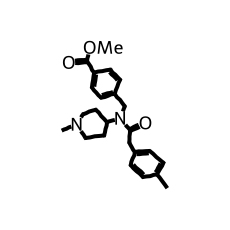 COC(=O)c1ccc(CN(C(=O)Cc2ccc(C)cc2)C2CCN(C)CC2)cc1